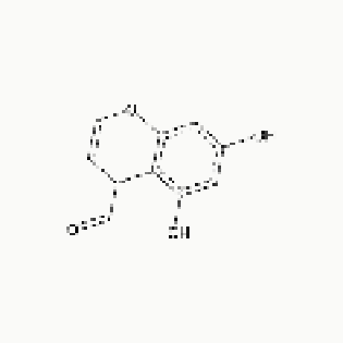 O=CC1C=COc2cc(O)cc(O)c21